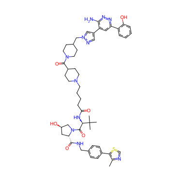 Cc1ncsc1-c1ccc(CNC(=O)[C@@H]2C[C@@H](O)CN2C(=O)[C@@H](NC(=O)CCCCN2CCC(C(=O)N3CCC(Cn4cc(-c5cc(-c6ccccc6O)nnc5N)cn4)CC3)CC2)C(C)(C)C)cc1